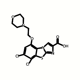 O=C(O)c1cn2c(n1)sc1c(Cl)c(Cl)cc(OCCN3CCOCC3)c12